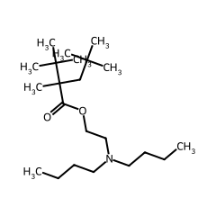 CCCCN(CCCC)CCOC(=O)C(C)(CC(C)(C)C)C(C)(C)C